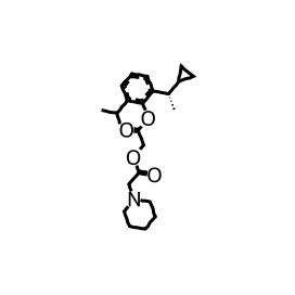 CC(C)c1cccc([C@@H](C)C2CC2)c1OC(=O)COC(=O)CN1CCCCC1